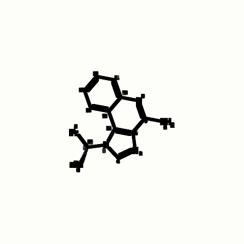 CCCC[C@H](C(C)C)n1cnc2c(N)nc3ccccc3c21